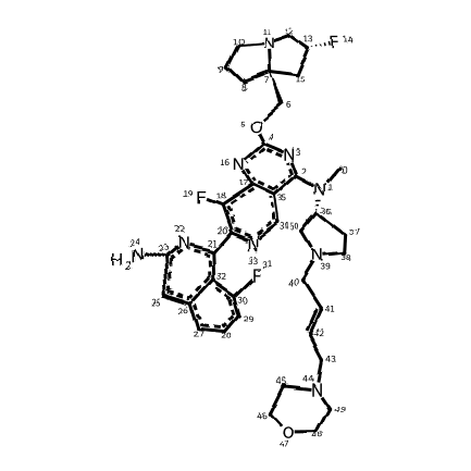 CN(c1nc(OC[C@@]23CCCN2C[C@H](F)C3)nc2c(F)c(-c3nc(N)cc4cccc(F)c34)ncc12)[C@@H]1CCN(C/C=C/CN2CCOCC2)C1